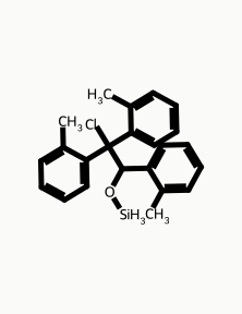 Cc1ccccc1C(O[SiH3])C(Cl)(c1ccccc1C)c1ccccc1C